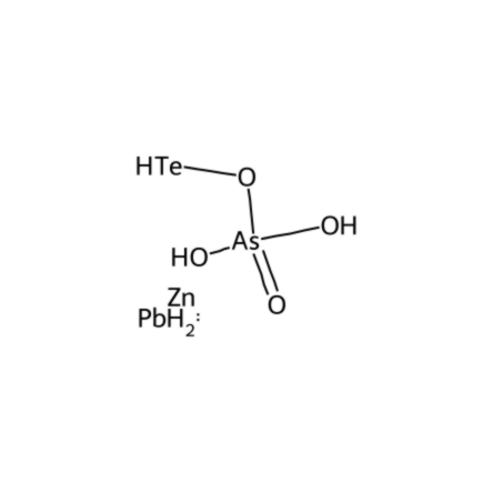 O=[As](O)(O)O[TeH].[PbH2].[Zn]